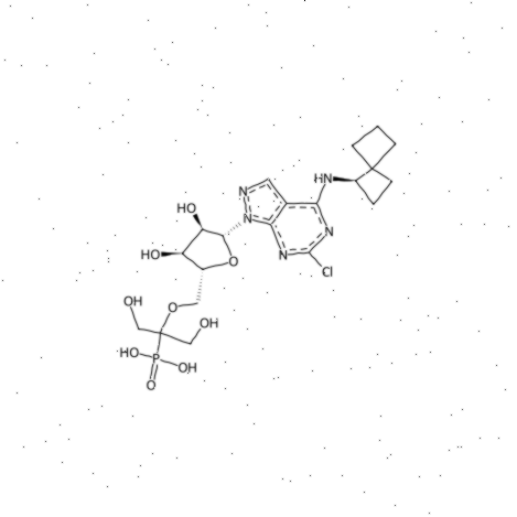 O=P(O)(O)C(CO)(CO)OC[C@H]1O[C@@H](n2ncc3c(N[C@@H]4CCC45CCC5)nc(Cl)nc32)[C@H](O)[C@@H]1O